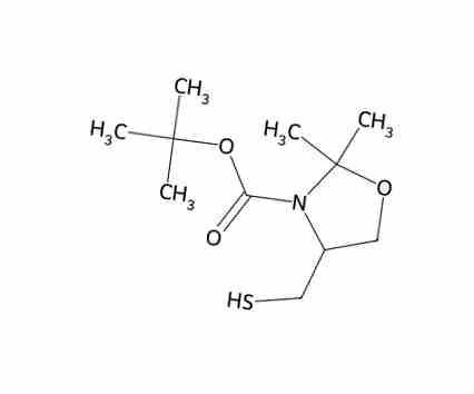 CC(C)(C)OC(=O)N1C(CS)COC1(C)C